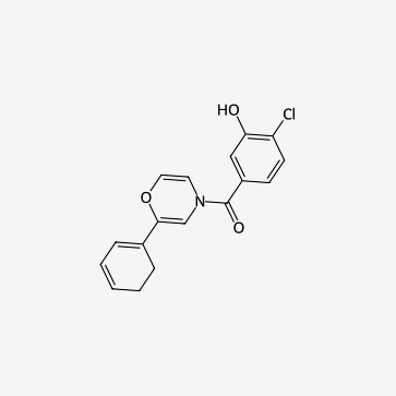 O=C(c1ccc(Cl)c(O)c1)N1C=COC(C2=CC=CCC2)=C1